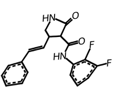 O=C1NCC(C=Cc2ccccc2)C1C(=O)Nc1cccc(F)c1F